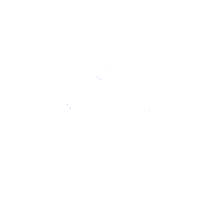 CN1C(=O)C(CN2CCCCC2)CC1C1CC1c1ccccc1Cl